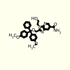 COc1ccc(C(OCc2nc3cc(C(N)=O)cnc3n2CCO)(c2ccccc2)c2ccc(OC)cc2)cc1